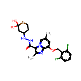 Cc1cc(OCc2c(F)cccc2F)c2nc(C)c(C(=O)NNC3CCSC(O)(O)C3)n2c1